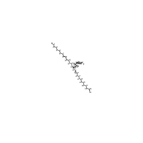 CCCCCCCCC=CCCCCCCCCOCCCCCCCCCCCC.O=S(=O)(O)O.[MgH2].[NaH]